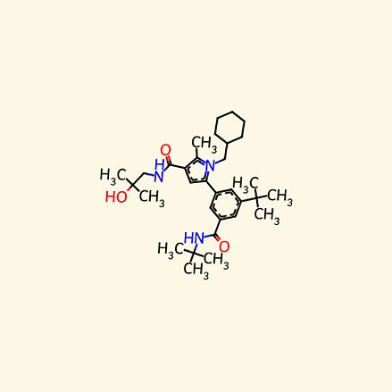 Cc1c(C(=O)NCC(C)(C)O)cc(-c2cc(C(=O)NC(C)(C)C)cc(C(C)(C)C)c2)n1CC1CCCCC1